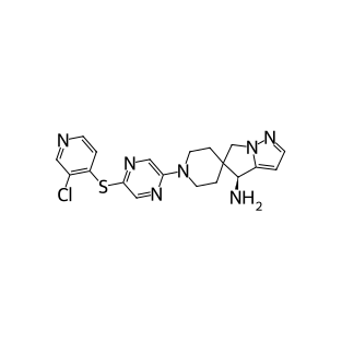 N[C@@H]1c2ccnn2CC12CCN(c1cnc(Sc3ccncc3Cl)cn1)CC2